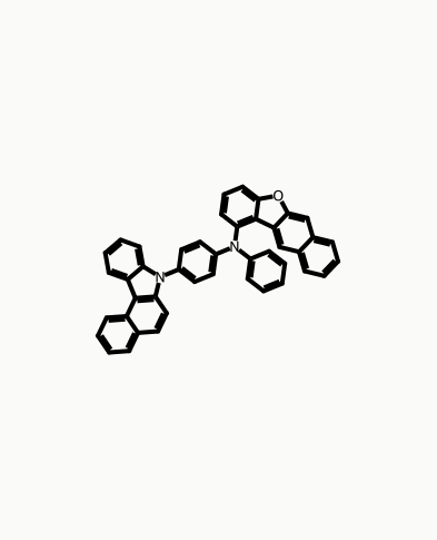 c1ccc(N(c2ccc(-n3c4ccccc4c4c5ccccc5ccc43)cc2)c2cccc3oc4cc5ccccc5cc4c23)cc1